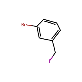 Brc1cccc(CI)c1